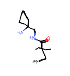 CC(C)CC(C)(C)C(=O)NCC1(N)CCC1